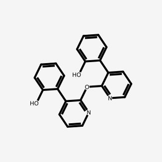 Oc1ccccc1-c1cccnc1Oc1ncccc1-c1ccccc1O